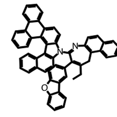 CCC1=C(c2ccc3oc4ccccc4c3c2)C(n2c3ccc4ccccc4c3c3c4c5ccccc5c5ccccc5c4ccc32)=Nc2ccc3ccccc3c2C1